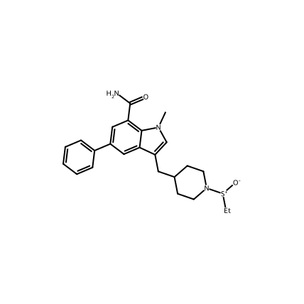 CC[S+]([O-])N1CCC(Cc2cn(C)c3c(C(N)=O)cc(-c4ccccc4)cc23)CC1